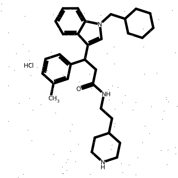 Cc1cccc(C(CC(=O)NCCC2CCNCC2)c2cn(CC3CCCCC3)c3ccccc23)c1.Cl